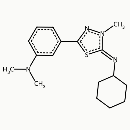 CN(C)c1cccc(-c2nn(C)c(=NC3CCCCC3)s2)c1